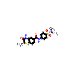 C[C@H]1Sc2ccc(C(=O)Nc3ccc(S(=O)(=O)N(C)C)cc3)cc2NC1=O